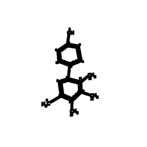 Cc1cc(-c2ccc(O)cc2)c(C)c(C)c1C